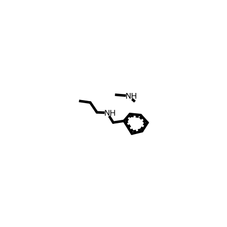 CCCNCc1ccccc1.CNC